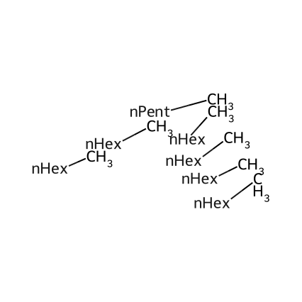 CCCCCC.CCCCCCC.CCCCCCC.CCCCCCC.CCCCCCC.CCCCCCC.CCCCCCC